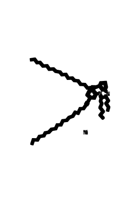 CCCCCCCCCCCCCCCCCCCC#Cc1cccc(N=C(CCCC)C(CCCCCC)=Nc2cccc(C#CCCCCCCCCCCCCCCCCCCC)c2)c1.[Ni]